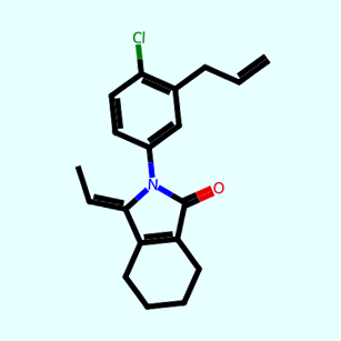 C=CCc1cc(N2C(=O)C3=C(CCCC3)C2=CC)ccc1Cl